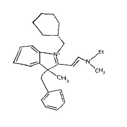 CCN(C)/C=C/C1=[N+](CC2CCCCC2)c2ccccc2C1(C)Cc1ccccc1